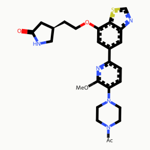 COc1nc(-c2cc(OCC[C@H]3CNC(=O)C3)c3scnc3c2)ccc1N1CCN(C(C)=O)CC1